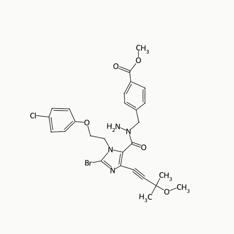 COC(=O)c1ccc(CN(N)C(=O)c2c(C#CC(C)(C)OC)nc(Br)n2CCOc2ccc(Cl)cc2)cc1